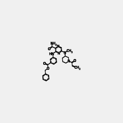 C=CC(=O)N1CCC[C@@H](N(C)c2cnc(C(N)=O)c(Nc3cccc(C(=O)OCc4ccccc4)c3)n2)C1